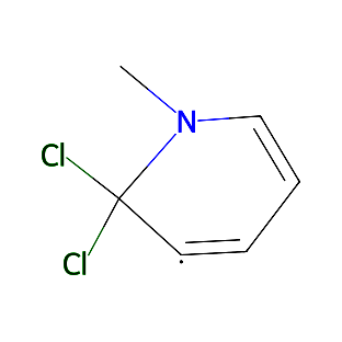 CN1C=CC=[C]C1(Cl)Cl